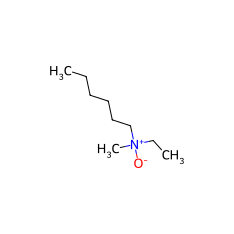 CCCCCC[N+](C)([O-])CC